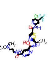 CC(NC(O)c1cc(C(=O)NCCCN(C)C)ncn1)c1ncc(C(=O)Nc2cc(C(F)(F)F)c(Cl)cn2)s1